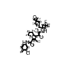 Cc1ccc(NC(=O)c2c(C)c(C(=O)C(=O)NC3(CN4CC5(COC5)C4)CC(F)(F)C3)c3n2CCC3)cc1Cl